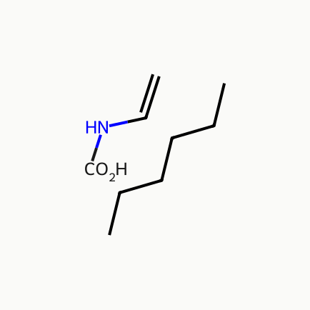 C=CNC(=O)O.CCCCCC